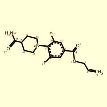 C=CCOC(=O)c1cc(F)c(N2CCC(C(N)=O)CC2)c(F)c1